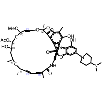 CO[C@H]1/C=C/O[C@@]2(C)Oc3c(C)c(O)c4c(=O)c(c5oc6cc(N7CCC(N(C)C)CC7)cc(O)c6nc-5c4c3C2=O)NC(=O)/C(C)=C\C=C\[C@H](C)C[C@@H](C)C[C@@H](O)[C@H](OC(C)=O)C1